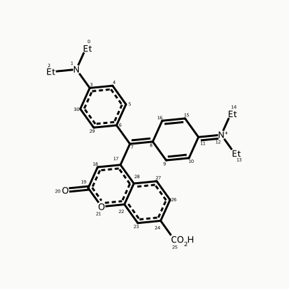 CCN(CC)c1ccc(C(=C2C=CC(=[N+](CC)CC)C=C2)c2cc(=O)oc3cc(C(=O)O)ccc23)cc1